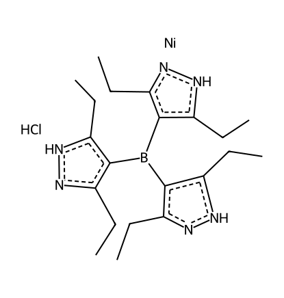 CCc1n[nH]c(CC)c1B(c1c(CC)n[nH]c1CC)c1c(CC)n[nH]c1CC.Cl.[Ni]